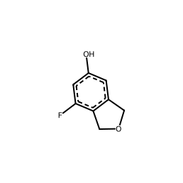 Oc1cc(F)c2c(c1)COC2